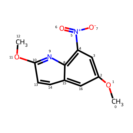 COc1cc([N+](=O)[O-])c2nc(OC)ccc2c1